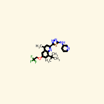 Cc1cc(-c2nnc(Nc3cccnc3)s2)nc2c(C(C)(C)C)cc(OCC(F)(F)F)cc12